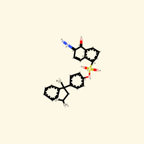 CC(C)CC(C)(c1cc[c]cc1)c1ccc(OS(=O)(=O)c2cccc3c2C=CC(=[N+]=[N-])C3=O)cc1